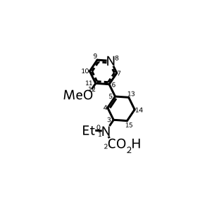 CCN(C(=O)O)C1C=C(c2cnccc2OC)CCC1